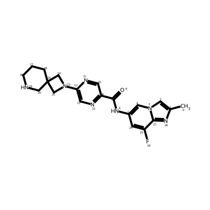 Cc1cn2cc(NC(=O)c3cnc(N4CC5(CCCNC5)C4)cn3)cc(F)c2n1